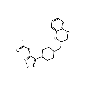 CC(=O)Nc1nsnc1N1CCN(C[C@H]2COc3ccccc3O2)CC1